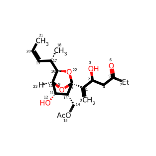 C=C(C(O)CC(=O)CC)[C@@]12O[C@@H]([C@@H](O)[C@H]1COC(C)=O)[C@@H]([C@@H](C)/C=C\C)O2